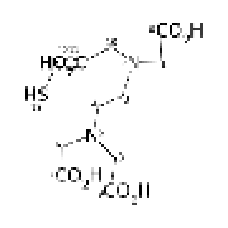 O=C(O)CN(CCN(CC(=O)O)CC(=O)O)CC(=O)O.O=NS